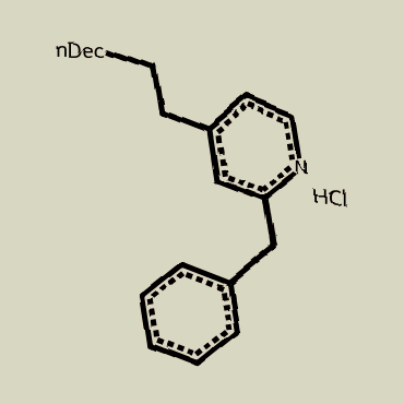 CCCCCCCCCCCCc1ccnc(Cc2ccccc2)c1.Cl